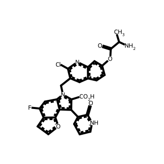 CC(N)C(=O)Oc1ccc2cc(Cn3c(C(=O)O)c(-c4ccc[nH]c4=O)c4c5occc5c(F)cc43)c(Cl)nc2c1